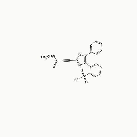 CN(O)C(=O)C#Cc1nc(-c2ccccc2S(C)(=O)=O)c(-c2ccccc2)o1